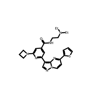 CCN(CC)CCNC(=O)c1cc(-c2cnn3ccc(-c4cccs4)nc23)nc(N2CCC2)c1